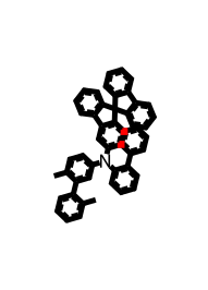 Cc1ccccc1-c1cc(N(c2ccc3c(c2)-c2ccccc2C32c3ccccc3-c3ccccc32)c2ccccc2-c2ccccc2)ccc1C